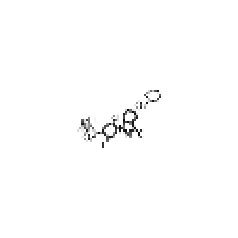 CS(=O)(=O)NC(=O)c1cc(Cl)c(-n2nc(Cl)c3cc(OCC4CCCCC4)ccc32)cc1F